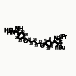 CCCCc1sc(C(C)C)nc1-c1ccc(OCCCCCOc2ccc(C(=N)NO)cc2)cc1